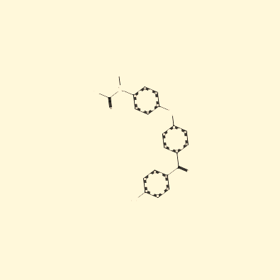 CCCC(=O)N(C)c1ccc(Oc2ccc(C(=O)c3ccc(O)cc3)cc2)cc1